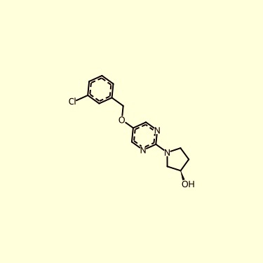 O[C@@H]1CCN(c2ncc(OCc3cccc(Cl)c3)cn2)C1